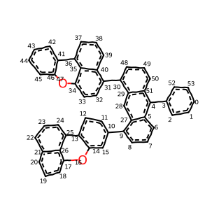 c1ccc(-c2c3cccc(-c4ccc5c(c4)Oc4cccc6cccc-5c46)c3cc3c(-c4ccc5c6c(cccc46)-c4ccccc4O5)cccc23)cc1